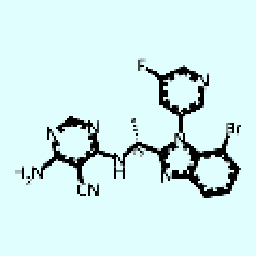 C[C@@H](Nc1ncnc(N)c1C#N)c1nc2cccc(Br)c2n1-c1cncc(F)c1